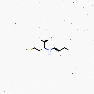 C=C(C)[C@H](CCSC)N/C=C/CC